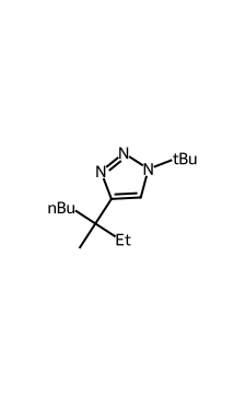 CCCCC(C)(CC)c1cn(C(C)(C)C)nn1